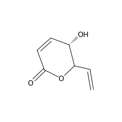 C=CC1OC(=O)C=C[C@@H]1O